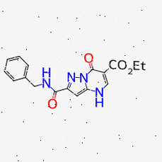 CCOC(=O)c1c[nH]c2cc(C(=O)NCc3ccccc3)nn2c1=O